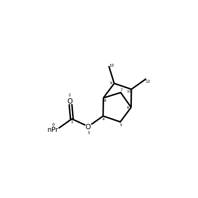 CCCC(=O)OC1CC2CC1C(C)C2C